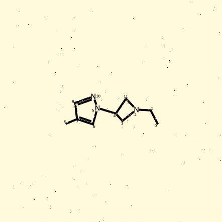 CCN1CC(n2cc(C)cn2)C1